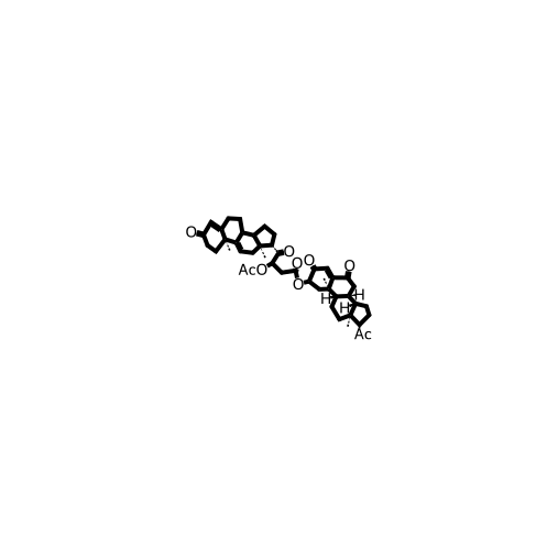 CC(=O)OC(CC(=O)OC1C[C@@]2(C)C(=CC1=O)C(=O)C[C@H]1[C@@H]3CC[C@H](C(C)=O)[C@@]3(C)CC[C@@H]12)C(=O)[C@H]1CCC2C3CCC4=CC(=O)CC[C@]4(C)C3=CC[C@@]21C